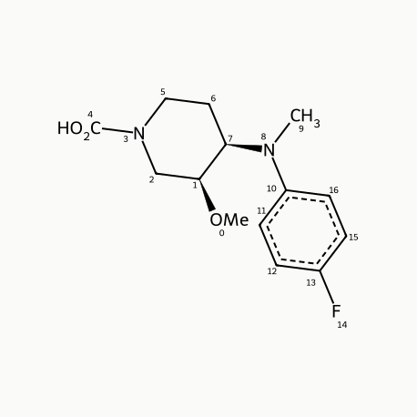 CO[C@H]1CN(C(=O)O)CC[C@H]1N(C)c1ccc(F)cc1